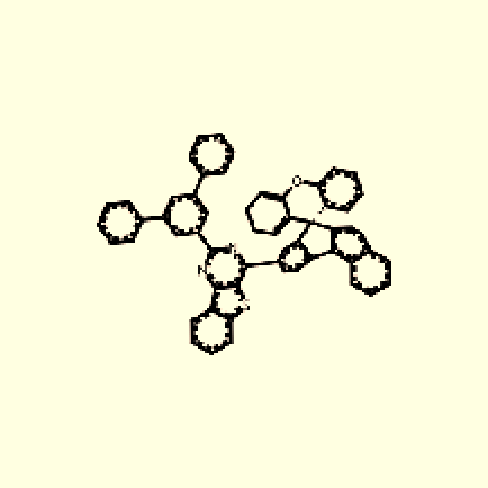 C1=C2Oc3ccccc3[C@@]3(C2=CCC1)c1cc(-c2nc(-c4cc(-c5ccccc5)cc(-c5ccccc5)c4)nc4c2sc2ccccc24)ccc1-c1c3ccc2ccccc12